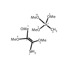 COC([SiH3])=C(OC)OC.CO[Si](C)(OC)OC